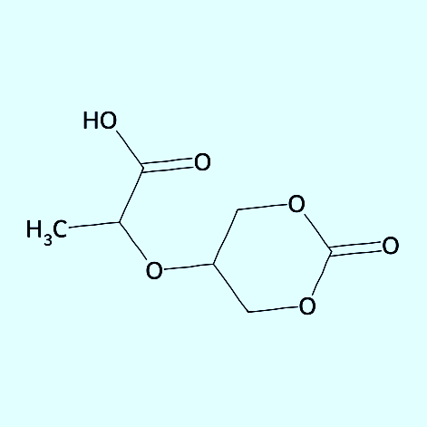 CC(OC1COC(=O)OC1)C(=O)O